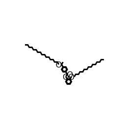 CCCCCCCCCCCCCCCCOC(C)c1ccc(C(=O)Oc2ccccc2OCCCCCCCCCCCCCCC)cc1